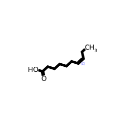 CC/C=C\CCCCCC(=O)O